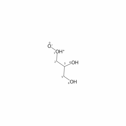 [O-][OH+]CC(O)CO